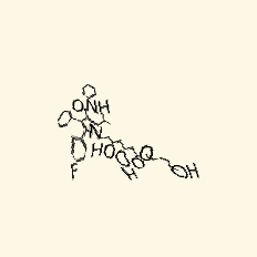 CC(C)c1c(C(=O)Nc2ccccc2)c(-c2ccccc2)c(-c2ccc(F)cc2)n1CCC(O)CC(O)CC(=O)OC/C=C\CO